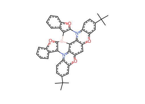 CC(C)(C)c1ccc2c(c1)oc1cc3oc4cc(C(C)(C)C)ccc4n4c3c3c1n2-c1oc2ccccc2c1B3c1oc2ccccc2c1-4